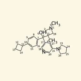 CN1CC(C)(C(O)(c2ccc(C3CCC3)cc2)c2cncc(N3CCCC3)c2)C1